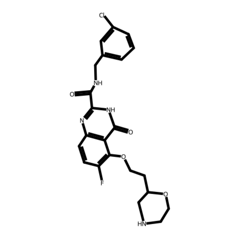 O=C(NCc1cccc(Cl)c1)c1nc2ccc(F)c(OCCC3CNCCO3)c2c(=O)[nH]1